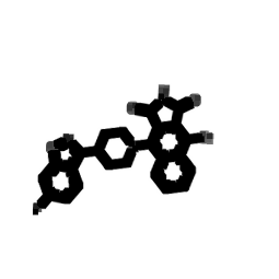 CCc1c2c(c(N3CCC(c4noc5cc(F)ccc45)CC3)c3ccccc13)C(=O)NC2=O